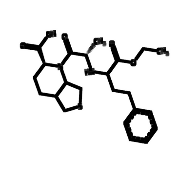 CCOC(=O)C(CCc1ccccc1)N[C@@H](C)C(=O)N1C2CSCC2CC[C@H]1C(=O)O